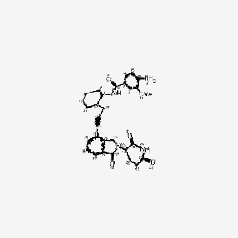 COc1cc(C(=O)N[C@@H]2CCCC[C@@H]2CC#Cc2cccc3c2CN(C2CCC(=O)NC2=O)C3=O)ccc1N